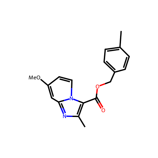 COc1ccn2c(C(=O)OCc3ccc(C)cc3)c(C)nc2c1